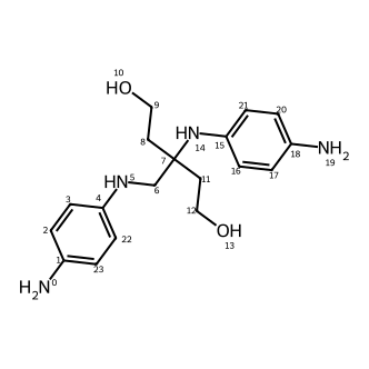 Nc1ccc(NCC(CCO)(CCO)Nc2ccc(N)cc2)cc1